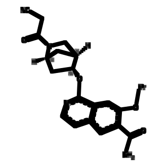 CC(C)Oc1cc2c(O[C@H]3C[C@@H]4C[C@H]3CN4C(=O)CC#N)nccc2cc1C(N)=O